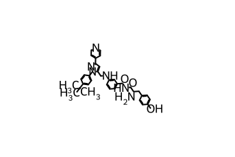 CC(C)(C)c1ccc(-n2nc(-c3ccncc3)cc2CNc2cccc(C(=O)NC(=O)C(N)Cc3ccc(O)cc3)c2)cc1